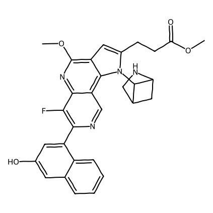 COC(=O)CCc1cc2c(OC)nc3c(F)c(-c4cc(O)cc5ccccc45)ncc3c2n1C1C2CNC1C2